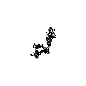 CC[C@H]1OC(=O)[C@H](C)[C@@H](O[C@H]2C[C@@](C)(OC)[C@@H](O)[C@H](C)O2)[C@H](C)[C@@H](O[C@@H]2O[C@H](C)C[C@H](N(C)C/C=C/c3cn(C[C@H]4CN(c5ccc(N6CCOCC6)c(F)c5)C(=O)O4)nn3)[C@H]2O)[C@](C)(O)C[C@@H](C)CN(C)[C@H](C)[C@@H](O)[C@]1(C)O